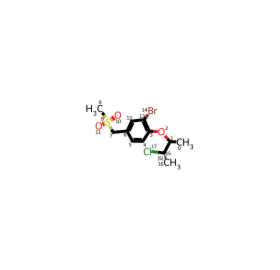 CC(Oc1ccc(CS(C)(=O)=O)cc1Br)[C@H](C)Cl